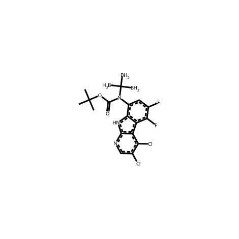 BC(B)(B)N(C(=O)OC(C)(C)C)c1cc(F)c(F)c2c1[nH]c1ncc(Cl)c(Cl)c12